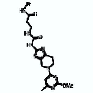 COc1nc(C)cc(N2CCc3nc(NC(=O)NCCC(=O)NC(C)C)sc3C2)n1